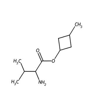 CC1CC(OC(=O)C(N)C(C)C)C1